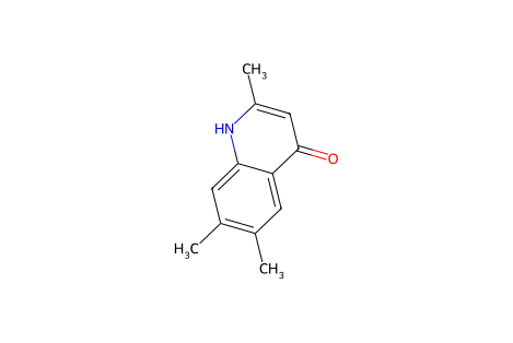 Cc1cc(=O)c2cc(C)c(C)cc2[nH]1